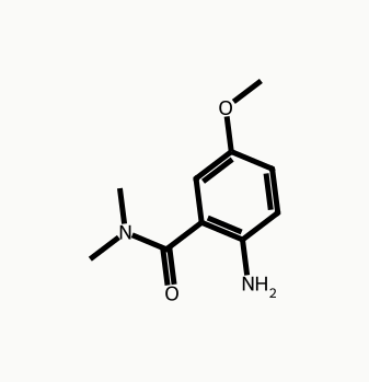 COc1ccc(N)c(C(=O)N(C)C)c1